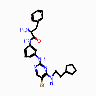 NC(Cc1ccccc1)C(=O)Nc1cccc(Nc2ncc(Br)c(NCCC3CCCC3)n2)c1